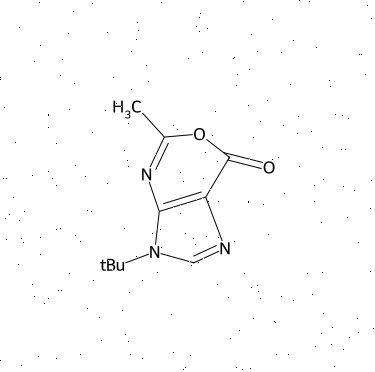 Cc1nc2c(ncn2C(C)(C)C)c(=O)o1